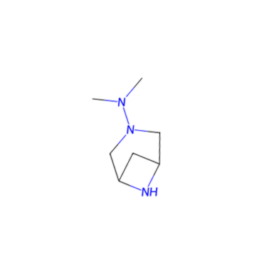 CN(C)N1CC2CC(C1)N2